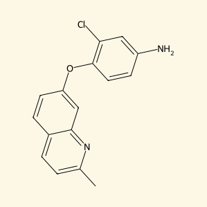 Cc1ccc2ccc(Oc3ccc(N)cc3Cl)cc2n1